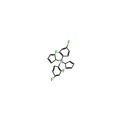 Fc1cc[c]([Ti]([c]2ccc(F)cc2F)([CH]2C=CC=C2)[CH]2C=CC=C2)c(F)c1